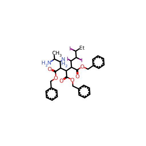 CCC(I)C(I)C(I)C(C(=O)OCc1ccccc1)C(C(=O)OCc1ccccc1)C(C(=O)OCc1ccccc1)C(N)C(C)N